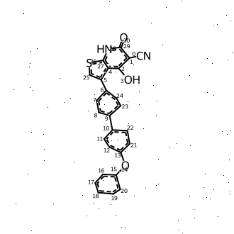 N#Cc1c(O)c2c(-c3ccc(-c4ccc(Oc5ccccc5)cc4)cc3)csc2[nH]c1=O